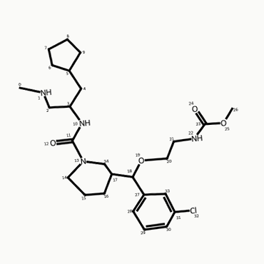 CNCC(CC1CCCC1)NC(=O)N1CCCC(C(OCCNC(=O)OC)c2cccc(Cl)c2)C1